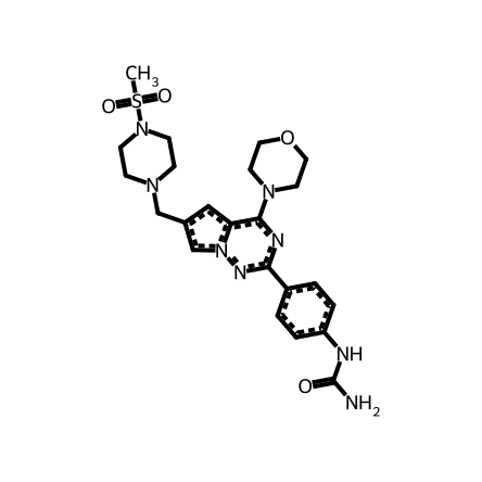 CS(=O)(=O)N1CCN(Cc2cc3c(N4CCOCC4)nc(-c4ccc(NC(N)=O)cc4)nn3c2)CC1